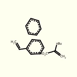 C=C(CCCC)C(=O)O.C=Cc1ccccc1.c1ccccc1